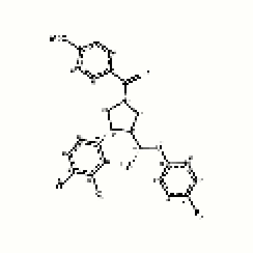 COc1ccc(C(=O)N2CC([C@@H](C)Oc3ccc(F)cn3)[C@H](c3ccc(Cl)c(Cl)c3)C2)cn1